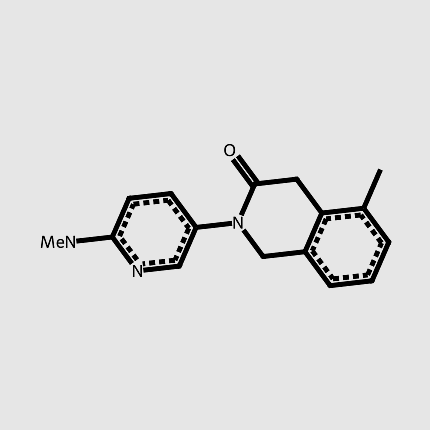 CNc1ccc(N2Cc3cccc(C)c3CC2=O)cn1